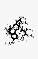 [2H]C1(OC(=O)[C@@H](N)C(C)C)CC2c3cc(OC)c(OC)cc3C([2H])([2H])C([2H])([2H])N2CC1CC(C)C